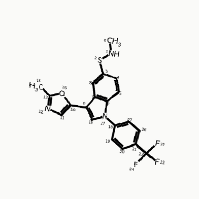 CNSc1ccc2c(c1)c(-c1cnc(C)o1)cn2-c1ccc(C(F)(F)F)cc1